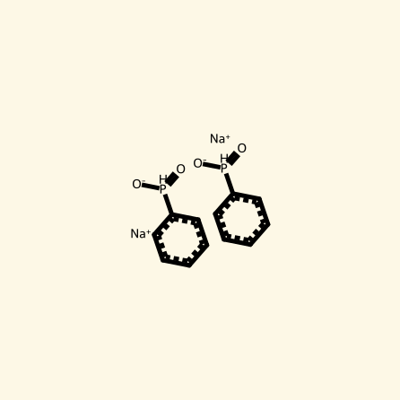 O=[PH]([O-])c1ccccc1.O=[PH]([O-])c1ccccc1.[Na+].[Na+]